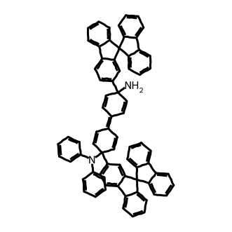 NC1(c2ccc3c(c2)C2(c4ccccc4-c4ccccc42)c2ccccc2-3)C=CC(=C2C=CC(c3ccc4c(c3)C3(c5ccccc5-c5ccccc53)c3ccccc3-4)(N(c3ccccc3)c3ccccc3)C=C2)C=C1